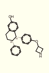 Oc1ccc2c(c1)CC[C@@H](c1ccccc1)[C@H]2c1ccc(OC2CNC2)cc1